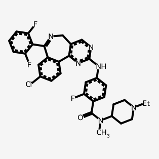 CCN1CCC(N(C)C(=O)c2ccc(Nc3ncc4c(n3)-c3ccc(Cl)cc3C(c3c(F)cccc3F)=NC4)cc2F)CC1